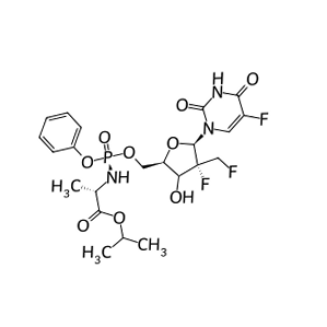 CC(C)OC(=O)[C@H](C)N[P@@](=O)(OC[C@H]1O[C@@H](n2cc(F)c(=O)[nH]c2=O)[C@@](F)(CF)C1O)Oc1ccccc1